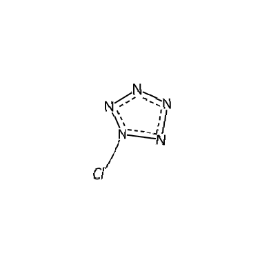 Cln1nnnn1